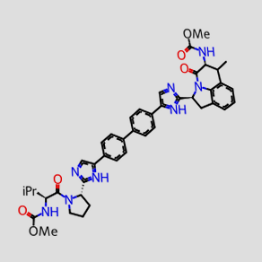 COC(=O)N[C@H](C(=O)N1CCC[C@H]1c1ncc(-c2ccc(-c3ccc(-c4cnc([C@@H]5Cc6cccc7c6N5C(=O)[C@@H](NC(=O)OC)C7C)[nH]4)cc3)cc2)[nH]1)C(C)C